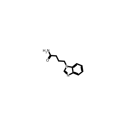 NC(=O)CCCn1cnc2ccccc21